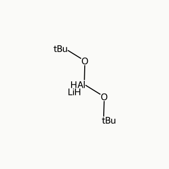 CC(C)(C)[O][AlH][O]C(C)(C)C.[LiH]